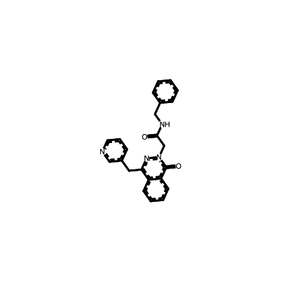 O=C(Cn1nc(Cc2cccnc2)c2ccccc2c1=O)NCc1ccccc1